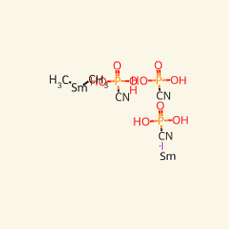 N#CP(=O)(O)O.N#CP(=O)(O)O.N#CP(=O)(O)O.[CH3][Sm][CH3].[I].[Sm]